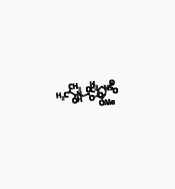 C=C(C)C(=O)NCC(=O)OC1C(OC)C2OC1(C)CC2[SH](=O)=O